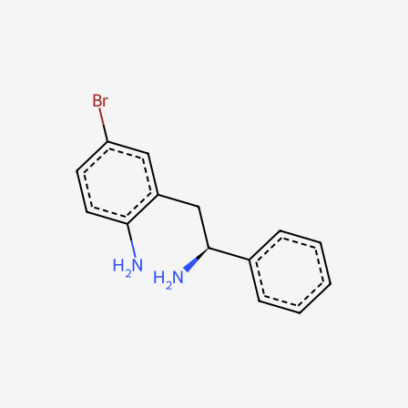 Nc1ccc(Br)cc1C[C@H](N)c1ccccc1